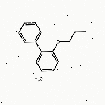 CCCOc1ccccc1-c1ccccc1.O